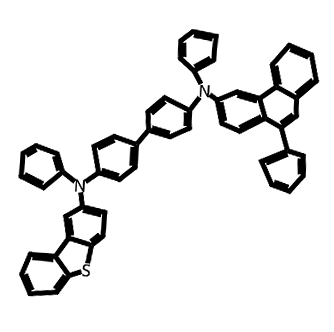 c1ccc(-c2cc3ccccc3c3cc(N(c4ccccc4)c4ccc(-c5ccc(N(c6ccccc6)c6ccc7sc8ccccc8c7c6)cc5)cc4)ccc23)cc1